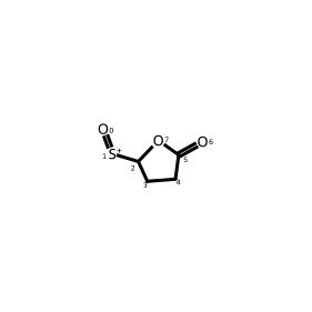 O=[S+]C1CCC(=O)O1